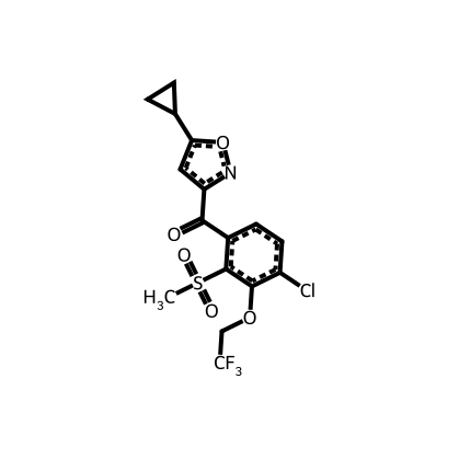 CS(=O)(=O)c1c(C(=O)c2cc(C3CC3)on2)ccc(Cl)c1OCC(F)(F)F